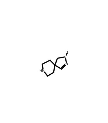 IN1CC2(C=N1)CCNCC2